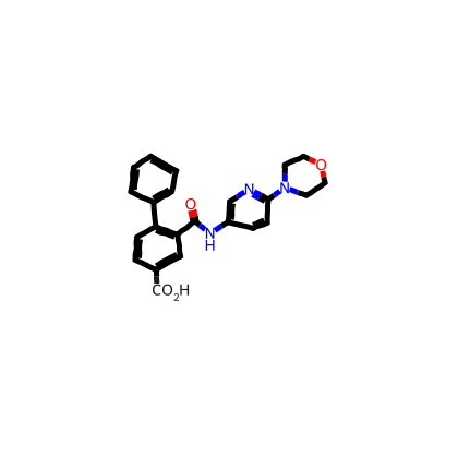 O=C(O)c1ccc(-c2ccccc2)c(C(=O)Nc2ccc(N3CCOCC3)nc2)c1